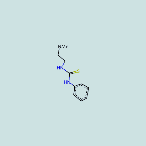 CNCCNC(=S)Nc1ccccc1